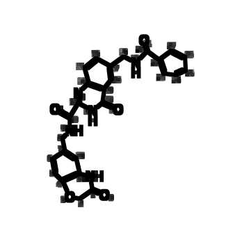 O=C1COc2ccc(CNC(=O)c3nc4ccc(CNC(=O)c5ccccc5)cc4c(=O)[nH]3)cc2N1